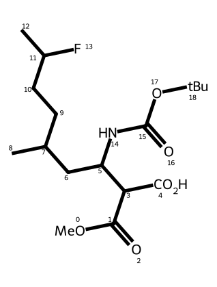 COC(=O)C(C(=O)O)C(CC(C)CCC(C)F)NC(=O)OC(C)(C)C